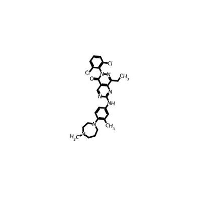 CCc1nn(-c2c(Cl)cccc2Cl)c(=O)c2cnc(Nc3ccc(N4CCCN(C)CC4)c(C)c3)nc12